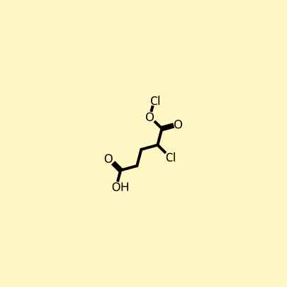 O=C(O)CCC(Cl)C(=O)OCl